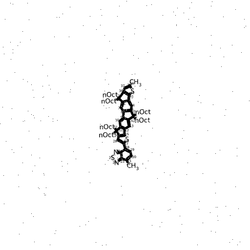 CCCCCCCCC1(CCCCCCCC)c2cc3c(cc2-c2cc4c(cc21)-c1sc(-c2ccc(C)c5nsnc25)cc1C4(CCCCCCCC)CCCCCCCC)C(CCCCCCCC)(CCCCCCCC)c1cc(C)sc1-3